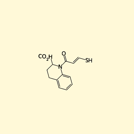 O=C(O)C1CCc2ccccc2N1C(=O)C=CS